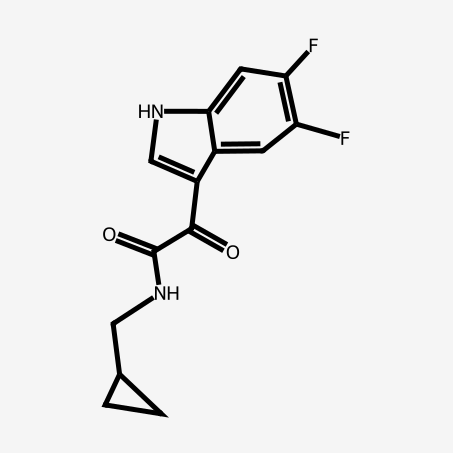 O=C(NCC1CC1)C(=O)c1c[nH]c2cc(F)c(F)cc12